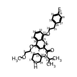 COCCOc1cc(C(=O)N(C(C)C)[C@@H]2CCCNC2)nc2c(OCCc3ccc(F)cc3)cccc12